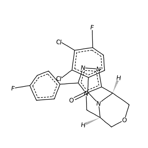 O=C(c1ccc(F)c(Cl)c1Cl)N1[C@H]2COC[C@@H]1c1nnc(-c3ccc(F)cc3)n1C2